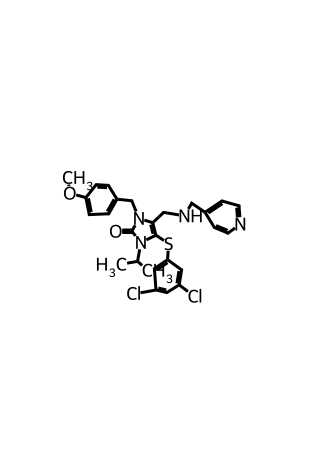 COc1ccc(Cn2c(CNCc3ccncc3)c(Sc3cc(Cl)cc(Cl)c3)n(C(C)C)c2=O)cc1